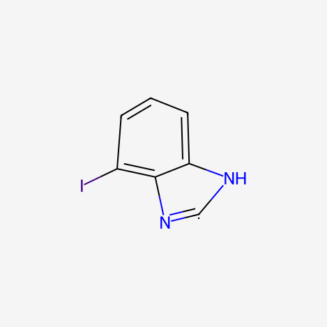 Ic1cccc2[nH][c]nc12